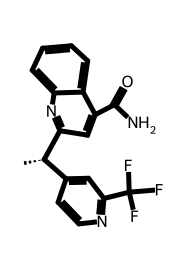 C[C@@H](c1ccnc(C(F)(F)F)c1)c1cc(C(N)=O)c2ccccc2n1